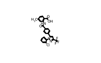 Cc1ccc(C(=O)O)c(NC(=O)c2ccc(-c3cc(C(F)(F)F)nn3-c3ccccc3Cl)cc2)c1